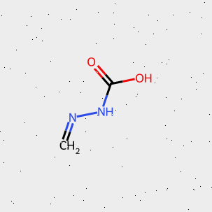 C=NNC(=O)O